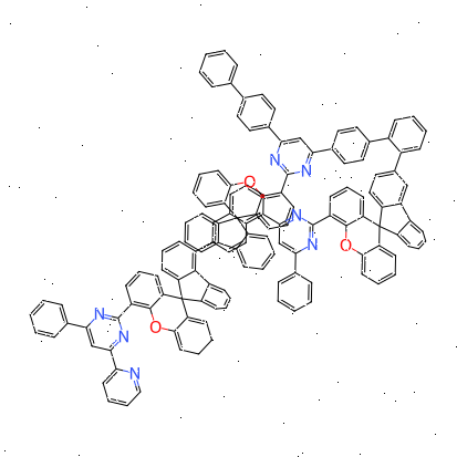 C1=C2Oc3c(-c4nc(-c5ccccc5)cc(-c5ccccn5)n4)cccc3C3(C2=CCC1)c1ccccc1-c1c(-c2ccc4c(-c5cc(-c6ccccc6)nc(-c6cccc7c6Oc6ccccc6C76c7ccccc7-c7cc(-c8ccccc8-c8ccc(-c9cc(-c%10ccc(-c%11ccccc%11)cc%10)nc(-c%10cccc%11c%10Oc%10ccccc%10C%11%10c%11ccccc%11-c%11ccccc%11%10)n9)cc8)ccc76)n5)cccc4c2)cccc13